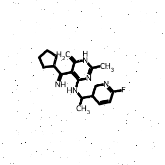 C=C1NC(C)=NC(NC(C)C2C=CC(F)=NC2)=C1C(=N)C1CCCC1